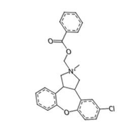 C[N+]1(COC(=O)c2ccccc2)CC2c3ccccc3Oc3ccc(Cl)cc3C2C1